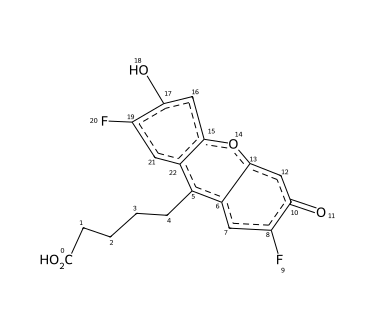 O=C(O)CCCCc1c2cc(F)c(=O)cc-2oc2cc(O)c(F)cc12